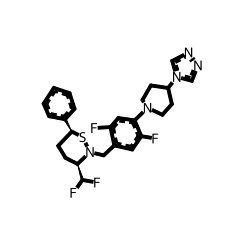 Fc1cc(N2CCC(n3cnnc3)CC2)c(F)cc1CN1S[C@H](c2ccccc2)CC[C@@H]1C(F)F